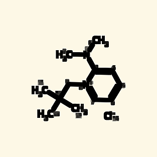 CN(C)c1cccc[n+]1CC(C)(C)C.[Cl-]